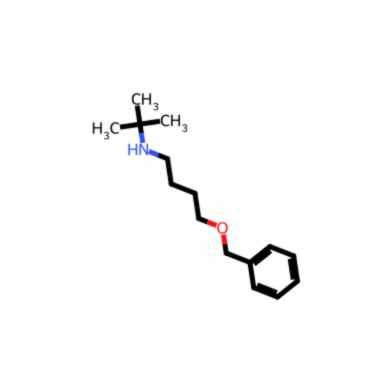 CC(C)(C)NCCCCOCc1ccccc1